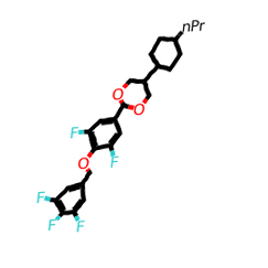 CCCC1CCC(C2COC(c3cc(F)c(OCc4cc(F)c(F)c(F)c4)c(F)c3)OC2)CC1